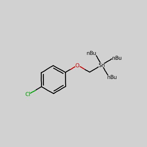 CCC[CH2][Sn]([CH2]CCC)([CH2]CCC)[CH2]Oc1ccc(Cl)cc1